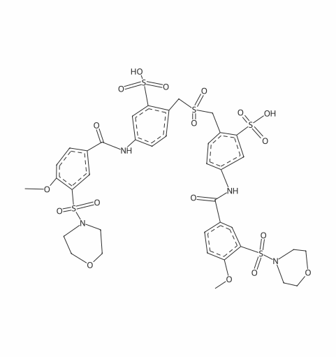 COc1ccc(C(=O)Nc2ccc(CS(=O)(=O)Cc3ccc(NC(=O)c4ccc(OC)c(S(=O)(=O)N5CCOCC5)c4)cc3S(=O)(=O)O)c(S(=O)(=O)O)c2)cc1S(=O)(=O)N1CCOCC1